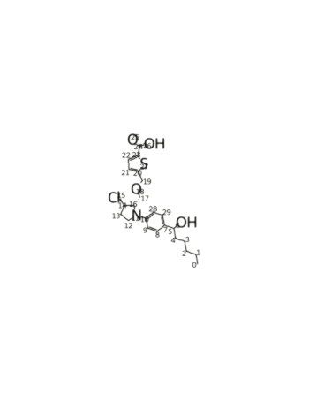 CCCCCC(O)c1ccc(N2CC[C@@H](Cl)[C@@H]2COCc2ccc(C(=O)O)s2)cc1